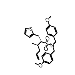 C=CC[C@@H](C)[C@H](Cc1cccs1)S(=O)(=O)N(Cc1ccc(OC)cc1)Cc1ccc(OC)cc1